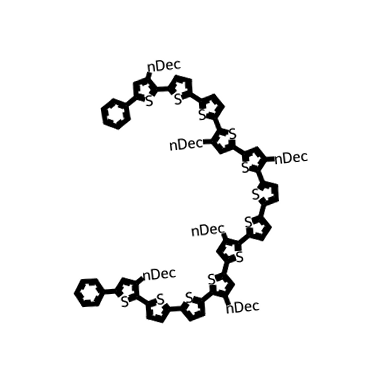 CCCCCCCCCCc1cc(-c2ccccc2)sc1-c1ccc(-c2ccc(-c3sc(-c4cc(CCCCCCCCCC)c(-c5ccc(-c6ccc(-c7sc(-c8cc(CCCCCCCCCC)c(-c9ccc(-c%10ccc(-c%11sc(-c%12ccccc%12)cc%11CCCCCCCCCC)s%10)s9)s8)cc7CCCCCCCCCC)s6)s5)s4)cc3CCCCCCCCCC)s2)s1